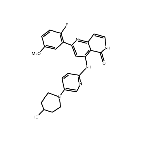 COc1ccc(F)c(-c2cc(Nc3ccc(N4CCC(O)CC4)cn3)c3c(=O)[nH]ccc3n2)c1